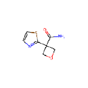 NC(=O)C1(c2nccs2)COC1